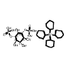 C1CCC([N+](C2CCCCC2)(C2CCCCC2)C2CCCCC2)CC1.O=P(O)(O)O[C@@H]1[C@H](O)[C@H](OP(=O)(O)O)[C@@H](O)[C@H](O)[C@H]1O